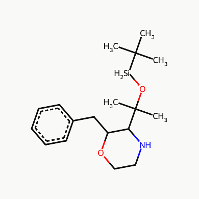 CC(C)(C)[SiH2]OC(C)(C)C1NCCOC1Cc1ccccc1